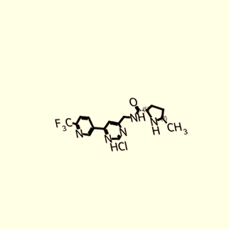 C[C@@H]1CC[C@@H](C(=O)NCc2cc(-c3ccc(C(F)(F)F)nc3)ncn2)N1.Cl